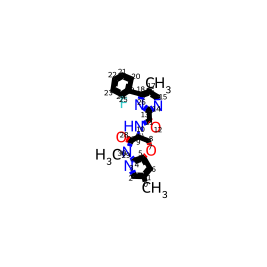 Cc1cnc2c(c1)OC[C@H](NC(=O)c1ncc(C)c(-c3ccccc3F)n1)C(=O)N2C